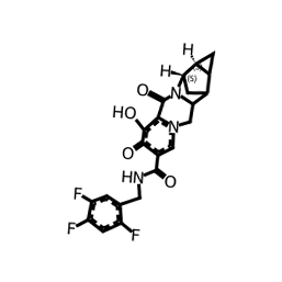 O=C(NCc1cc(F)c(F)cc1F)c1cn2c(c(O)c1=O)C(=O)N1C(C2)C2C[C@H]1[C@H]1CC21